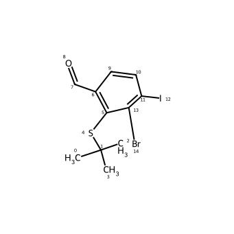 CC(C)(C)Sc1c(C=O)ccc(I)c1Br